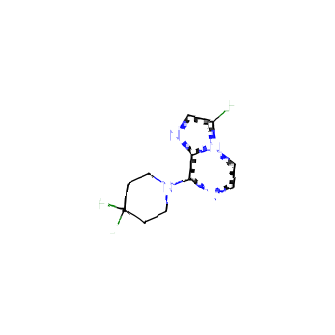 Fc1cnc2c(N3CCC(F)(F)CC3)nccn12